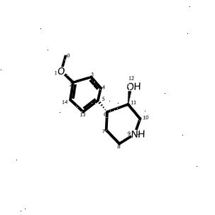 COc1ccc([C@H]2CCNC[C@@H]2O)cc1